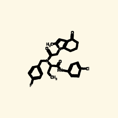 CCC(C(=O)Nc1ccc(Cl)cc1)N(Cc1ccc(F)cc1)C(=O)Cn1c(C)cc2c1CCCC2=O